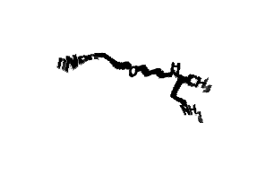 CCCCCCCCCCCCOCCCCNC(C)CCN